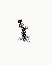 CN(CCc1ccccc1)C(=O)CCc1ccc(OC(=O)c2ccc(NC(=N)N)cc2)cc1Cl